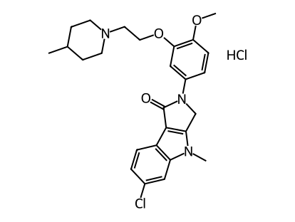 COc1ccc(N2Cc3c(c4ccc(Cl)cc4n3C)C2=O)cc1OCCN1CCC(C)CC1.Cl